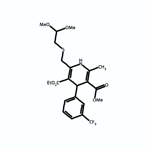 CCOC(=O)C1=C(CSCC(OC)OC)NC(C)=C(C(=O)OC)C1c1cccc(C(F)(F)F)c1